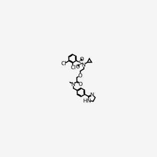 CN(Cc1ccc(C2=NCCN2)cc1)C(=O)COCCN(C1CC1)S(=O)(=O)c1cccc(Cl)c1Cl